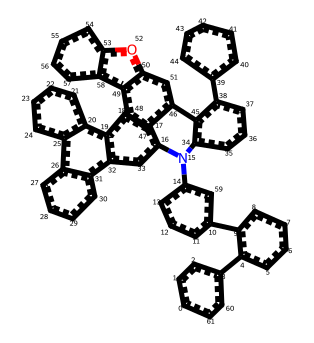 c1ccc(-c2ccccc2-c2cccc(N(c3ccc4c5ccccc5c5ccccc5c4c3)c3cccc(-c4ccccc4)c3-c3ccc4c(c3)oc3ccccc34)c2)cc1